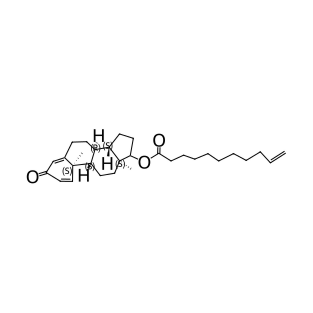 C=CCCCCCCCCC(=O)OC1CC[C@H]2[C@@H]3CCC4=CC(=O)C=C[C@]4(C)[C@H]3CC[C@]12C